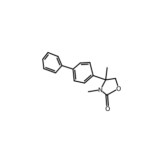 CN1C(=O)OCC1(C)c1ccc(-c2ccccc2)cc1